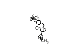 Cn1cc(-c2cnc3ccc4ccc(NS(C)(=O)=O)cc4c(=O)c3c2)cn1